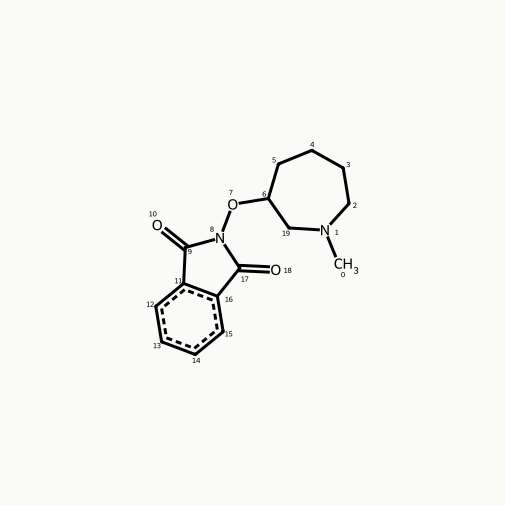 CN1CCCCC(ON2C(=O)c3ccccc3C2=O)C1